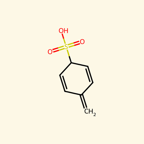 C=C1C=CC(S(=O)(=O)O)C=C1